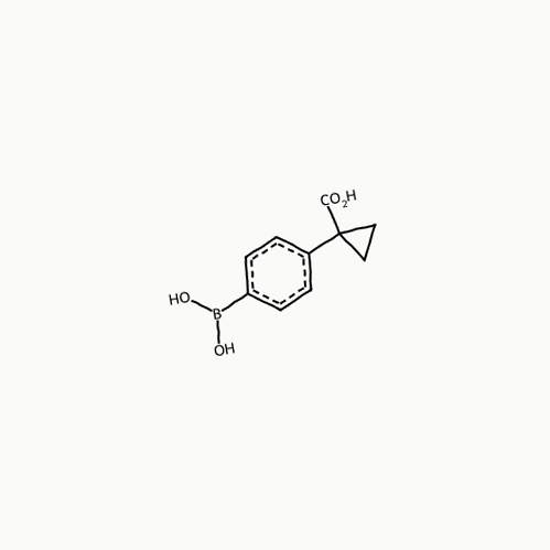 O=C(O)C1(c2ccc(B(O)O)cc2)CC1